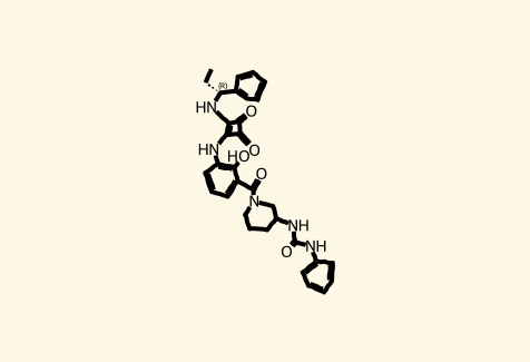 CC[C@@H](Nc1c(Nc2cccc(C(=O)N3CCCC(NC(=O)Nc4ccccc4)C3)c2O)c(=O)c1=O)c1ccccc1